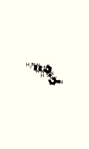 N#CC1CCCN(c2nc3ccnc(Nc4cnc(N)cn4)c3s2)C1